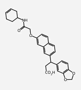 O=C(O)CC(c1ccc2c(c1)OCO2)c1ccc2ccc(OCC(=O)NC3CC=CCC3)cc2c1